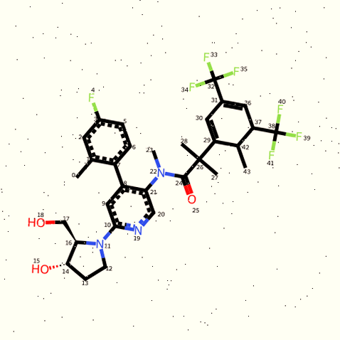 Cc1cc(F)ccc1-c1cc(N2CC[C@H](O)[C@H]2CO)ncc1N(C)C(=O)C(C)(C)C1=CC(C(F)(F)F)=CC(C(F)(F)F)C1C